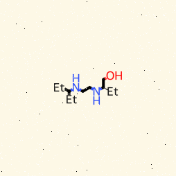 CCC(CC)NCCN[C@@H](CC)CO